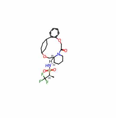 C[C@@H](C(F)(F)F)S(=O)(=O)N[C@H]1CCCN2C(=O)COc3ccccc3C3CCC(CC3)OC[C@@H]12